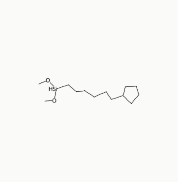 CO[SiH](CCCCCCC1CCCC1)OC